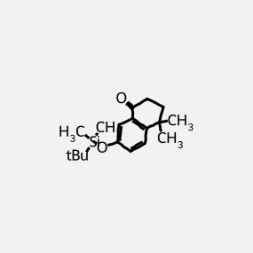 CC1(C)CCC(=O)c2cc(O[Si](C)(C)C(C)(C)C)ccc21